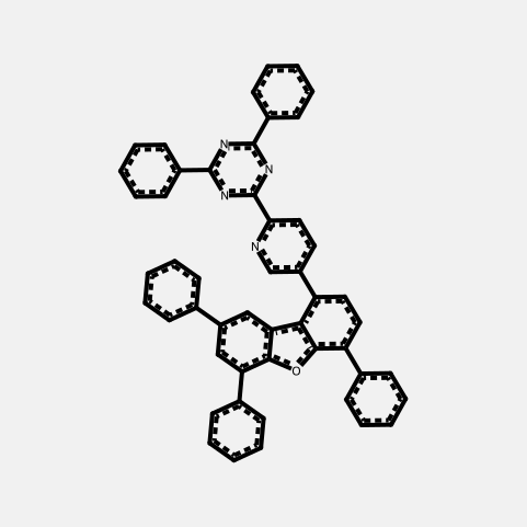 c1ccc(-c2cc(-c3ccccc3)c3oc4c(-c5ccccc5)ccc(-c5ccc(-c6nc(-c7ccccc7)nc(-c7ccccc7)n6)nc5)c4c3c2)cc1